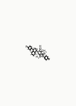 CC1CN(c2nnc(-c3ccc(F)cc3)c3ccccc23)CC(C)N1C(=O)Nc1ccc(F)cc1.Cl